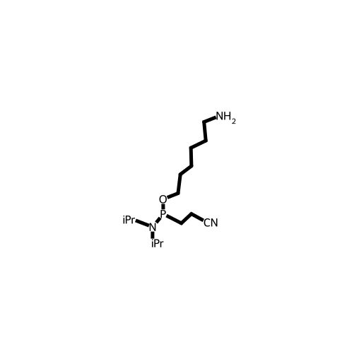 CC(C)N(C(C)C)P(CCC#N)OCCCCCCN